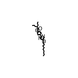 CCCCCCCCCOc1cnc(-c2ccc(OC(=O)C(CCC)CCC)cc2)nc1